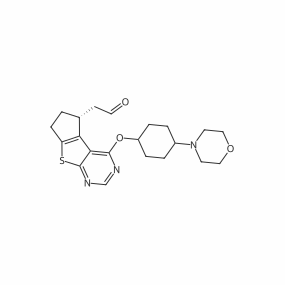 O=CC[C@H]1CCc2sc3ncnc(OC4CCC(N5CCOCC5)CC4)c3c21